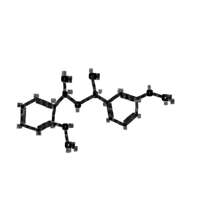 COc1cccc(B(O)OB(O)c2ccccc2OC)c1